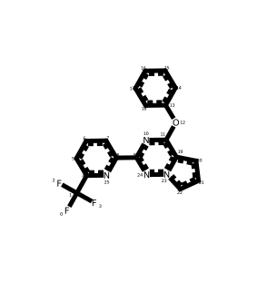 FC(F)(F)c1cccc(-c2nc(Oc3ccccc3)c3cccn3n2)n1